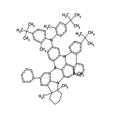 Cc1cc2c3c(c1)N1c4c(cc(-c5ccccc5)cc4C4(C)CCCCC14C)B3c1ccc(N(c3ccc(C(C)(C)C)cc3C)c3ccc(C(C)(C)C)cc3C)cc1N2c1ccc(C(C)(C)C)cc1-c1ccccc1